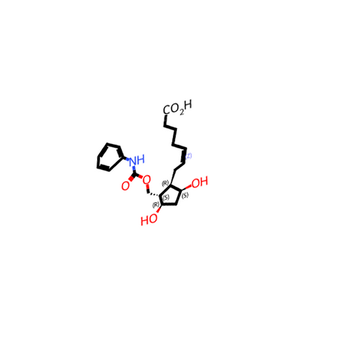 O=C(O)CCC/C=C\C[C@@H]1[C@@H](COC(=O)Nc2ccccc2)[C@H](O)C[C@@H]1O